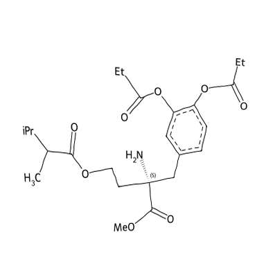 CCC(=O)Oc1ccc(C[C@](N)(CCOC(=O)C(C)C(C)C)C(=O)OC)cc1OC(=O)CC